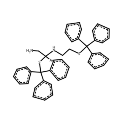 CC(=O)C(CN)(NCCSC(c1ccccc1)(c1ccccc1)c1ccccc1)SC(c1ccccc1)(c1ccccc1)c1ccccc1